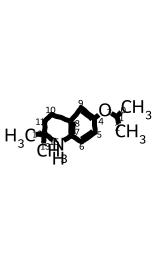 CC(C)Oc1ccc2c(c1)CCC(C)(C)N2